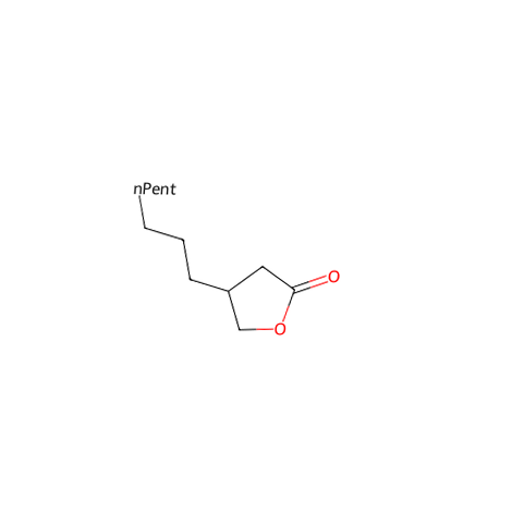 CCCCCCCCC1COC(=O)C1